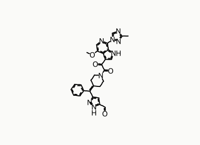 COc1cnc(-n2cnc(C)n2)c2[nH]cc(C(=O)C(=O)N3CCC(=C(c4ccccc4)c4cc(C=O)[nH]n4)CC3)c12